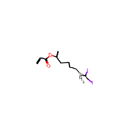 C=CC(=O)OC(C)CCCC[SiH2]C(I)I